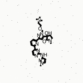 CN1CCC(O)(c2cc(-c3cccc(-c4ccnc(Nc5ccn(C)n5)n4)n3)nn2COCC[Si](C)(C)C)C1=O